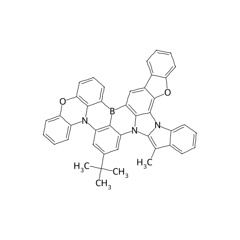 Cc1c2ccccc2n2c3c4oc5ccccc5c4cc4c3n(c12)-c1cc(C(C)(C)C)cc2c1B4c1cccc3c1N2c1ccccc1O3